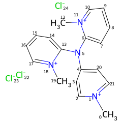 C[n+]1ccc(N(c2cccc[n+]2C)c2cccc[n+]2C)cc1.[Cl-].[Cl-].[Cl-]